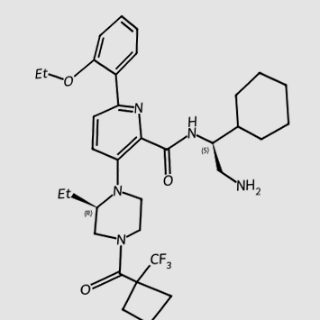 CCOc1ccccc1-c1ccc(N2CCN(C(=O)C3(C(F)(F)F)CCC3)C[C@H]2CC)c(C(=O)N[C@H](CN)C2CCCCC2)n1